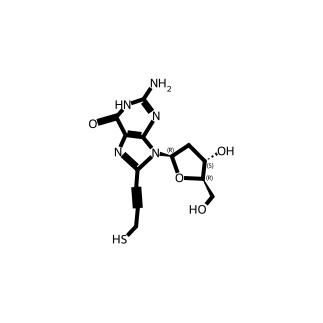 Nc1nc2c(nc(C#CCS)n2[C@H]2C[C@H](O)[C@@H](CO)O2)c(=O)[nH]1